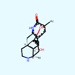 CC(=O)c1cc2c([nH]c1=O)C[C@]13CCN[C@H](Cc4ccc(O)cc41)[C@]3(O)C2